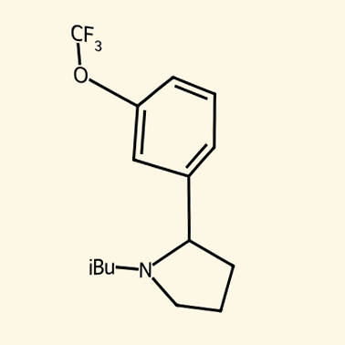 CCC(C)N1CCCC1c1cccc(OC(F)(F)F)c1